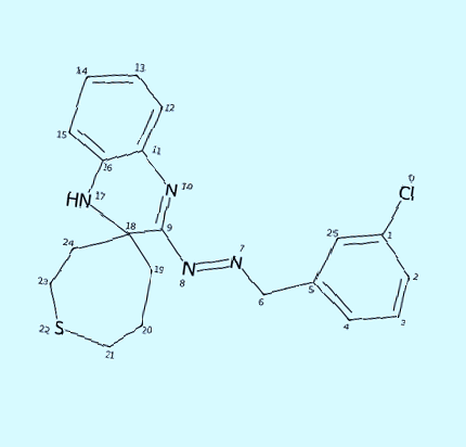 Clc1cccc(CN=NC2=Nc3ccccc3NC23CCCSCC3)c1